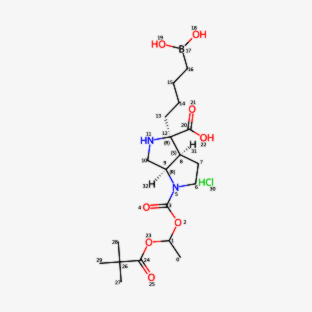 CC(OC(=O)N1CC[C@H]2[C@@H]1CN[C@@]2(CCCCB(O)O)C(=O)O)OC(=O)C(C)(C)C.Cl